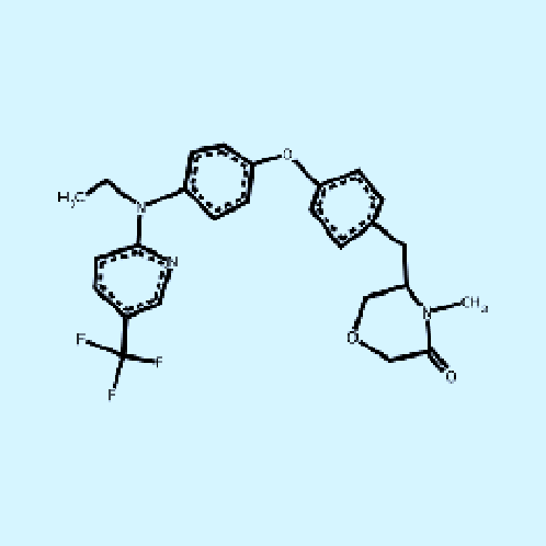 CCN(c1ccc(Oc2ccc(CC3COCC(=O)N3C)cc2)cc1)c1ccc(C(F)(F)F)cn1